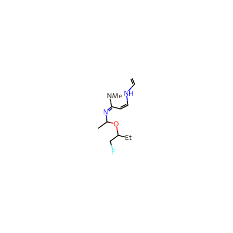 C=CN/C=C\C(=N/C(C)OC(CC)CF)NC